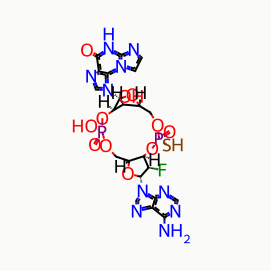 Nc1ncnc2c1ncn2[C@@H]1O[C@@H]2COP(=O)(O)O[C@@H]3[C@H](O)[C@@H](COP(=O)(S)O[C@H]2[C@H]1F)O[C@H]3n1cnc2c(=O)[nH]c3nccn3c21